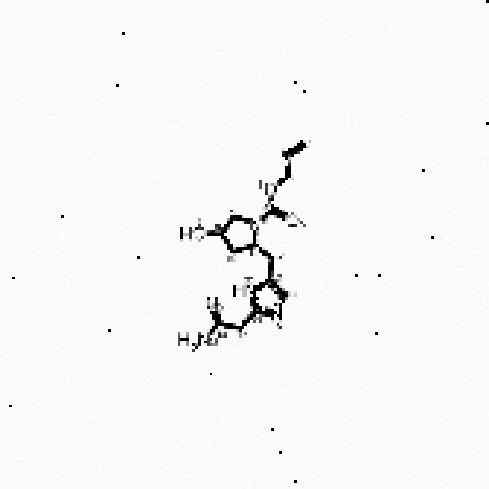 C=CCOC(=O)N1CC(O)CC1Cc1cnc(CC(N)=O)[nH]1